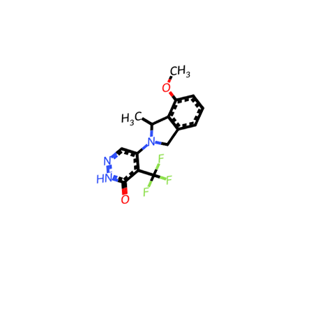 COc1cccc2c1C(C)N(c1cn[nH]c(=O)c1C(F)(F)F)C2